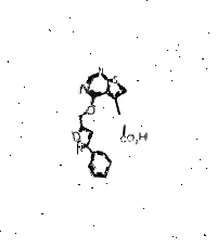 CC(=O)O.Cc1csc2ncnc(OCc3cc(-c4ccccc4)no3)c12